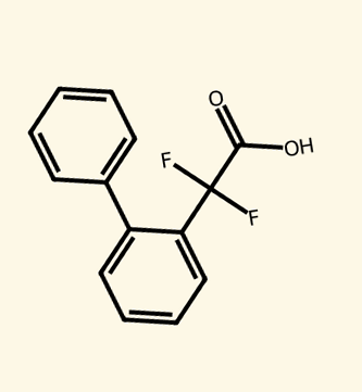 O=C(O)C(F)(F)c1ccccc1-c1ccccc1